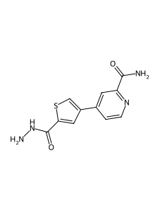 NNC(=O)c1cc(-c2ccnc(C(N)=O)c2)cs1